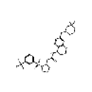 O=C(CC1CCCN1S(=O)(=O)c1cccc(C(F)(F)F)c1)NC1CCOc2cc(CN3CCCC(F)(F)C3)ccc21